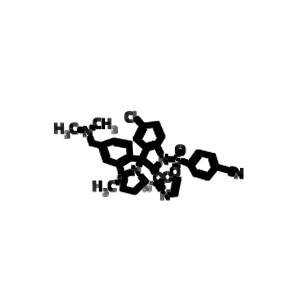 COc1cc(CN(C)C)ccc1C1(N2CCC[C@H]2c2ncco2)C(=O)N(S(=O)(=O)c2ccc(C#N)cc2)c2ccc(Cl)cc21